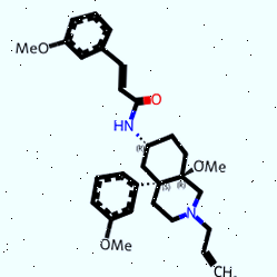 C=CCN1CC[C@@]2(c3cccc(OC)c3)C[C@H](NC(=O)C=Cc3cccc(OC)c3)CC[C@]2(OC)C1